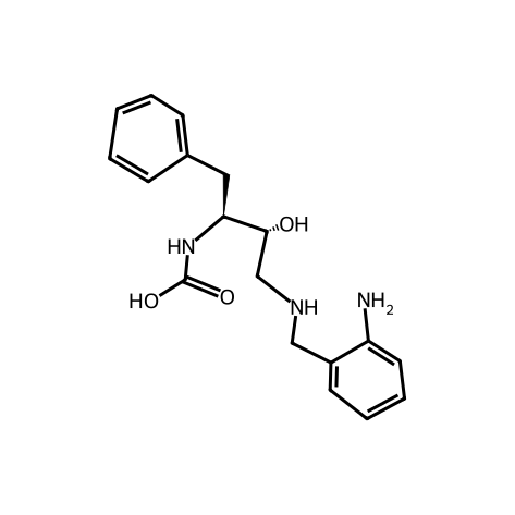 Nc1ccccc1CNC[C@@H](O)[C@H](Cc1ccccc1)NC(=O)O